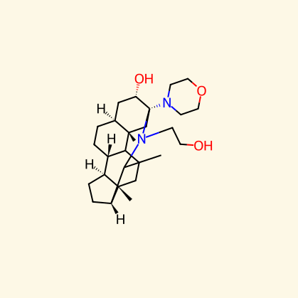 CC1[C@H]2CC[C@H]3[C@@H]4CC[C@H]5C[C@H](O)[C@@](N6CCOCC6)(C[C@]5(C)C4CC[C@]23C)N1CCO